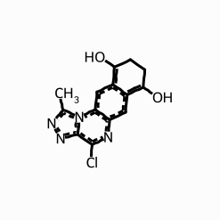 Cc1nnc2c(Cl)nc3cc4c(cc3n12)=C(O)CCC=4O